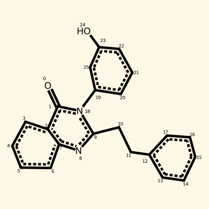 O=c1c2ccccc2nc(CCc2ccccc2)n1-c1cccc(O)c1